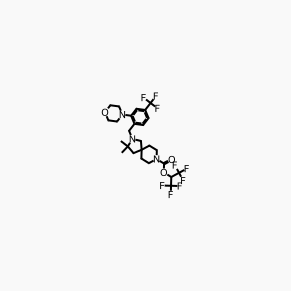 CC1(C)CC2(CCN(C(=O)OC(C(F)(F)F)C(F)(F)F)CC2)CN1Cc1ccc(C(F)(F)F)cc1N1CCOCC1